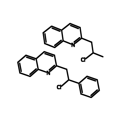 CC(Cl)Cc1ccc2ccccc2n1.ClC(Cc1ccc2ccccc2n1)c1ccccc1